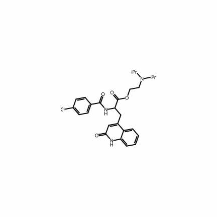 CC(C)N(CCOC(=O)C(Cc1cc(=O)[nH]c2ccccc12)NC(=O)c1ccc(Cl)cc1)C(C)C